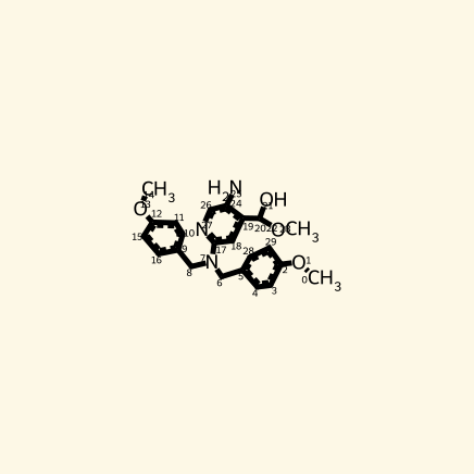 COc1ccc(CN(Cc2ccc(OC)cc2)c2cc(C(O)OC)c(N)cn2)cc1